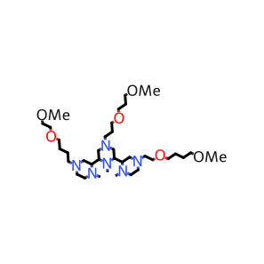 COCCCCOCCN1CCN(C)C(C2CN(CCCOCCCOC)CC(C3CN(CCCCOCCOC)CCN3C)N2C)C1